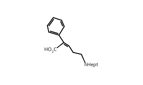 CCCCCCCCCC=C(C(=O)O)c1ccccc1